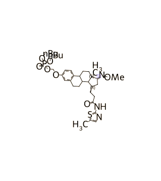 CCCCOP(=O)(OCCCC)OCOc1ccc2c(c1)CCC1C2CC[C@]2(C)/C(=N/OC)C[C@@H](CCC(=O)Nc3ncc(C)s3)C12